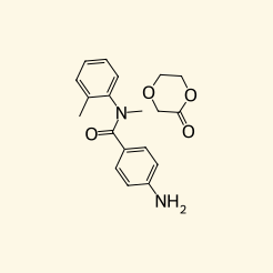 Cc1ccccc1N(C)C(=O)c1ccc(N)cc1.O=C1COCCO1